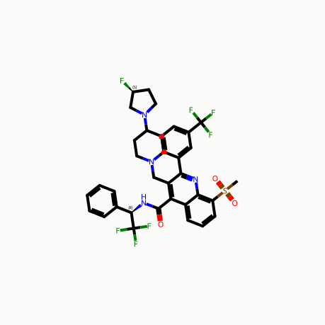 CS(=O)(=O)c1cccc2c(C(=O)N[C@H](c3ccccc3)C(F)(F)F)c(CN3CCC(N4CC[C@H](F)C4)CC3)c(-c3cccc(C(F)(F)F)c3)nc12